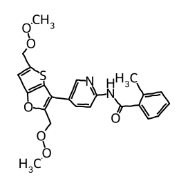 COOCc1cc2oc(COOC)c(-c3ccc(NC(=O)c4ccccc4C)nc3)c2s1